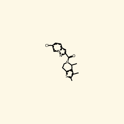 Cc1sc2c(c1C)C(C)N(C(=O)c1cc3ccc(Cl)cn3n1)CC2